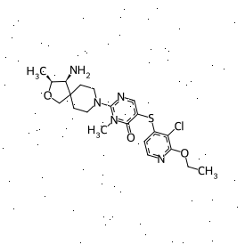 CCOc1nccc(Sc2cnc(N3CCC4(CC3)CO[C@@H](C)[C@H]4N)n(C)c2=O)c1Cl